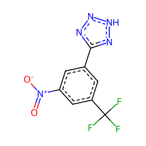 O=[N+]([O-])c1cc(-c2nn[nH]n2)cc(C(F)(F)F)c1